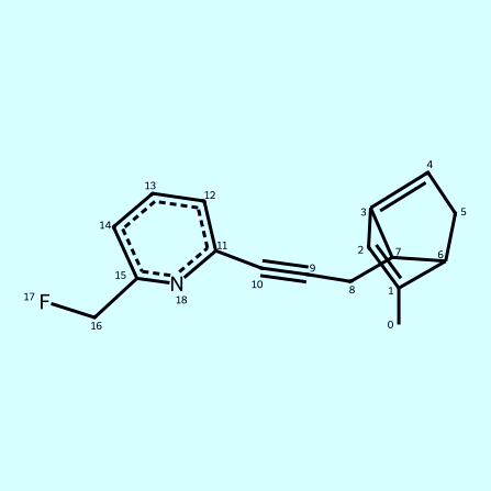 CC1=CC2=CCC1C2CC#Cc1cccc(CF)n1